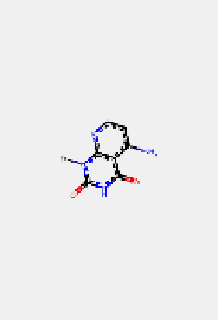 CCn1c(=O)[nH]c(=O)c2c(N)ccnc21